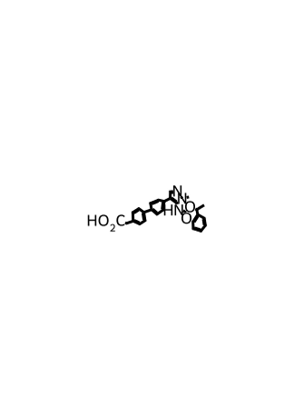 CC(OC(=O)Nc1c(-c2ccc(-c3ccc(CC(=O)O)cc3)cc2)cnn1C)c1ccccc1